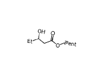 CCCC(C)OC(=O)CC(O)CC